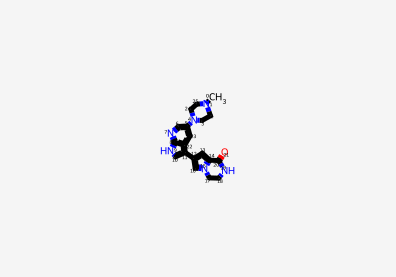 CN1CCN(c2cnc3[nH]cc(-c4cc5n(c4)CCNC5=O)c3c2)CC1